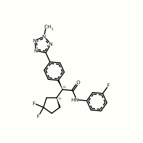 Cn1nnc(-c2ccc([C@@H](C(=O)Nc3cccc(F)c3)[C@H]3CCC(F)(F)C3)cc2)n1